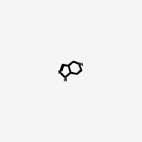 C1=NNC2CCNCC12